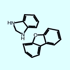 c1ccc2c(c1)NCN2.c1ccc2c(c1)oc1ccccc12